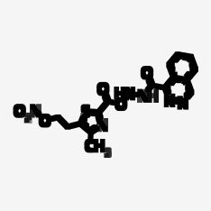 Cc1nc(C(=O)ONNC(=O)c2nncc3ccccc23)sc1CCO[N+](=O)[O-]